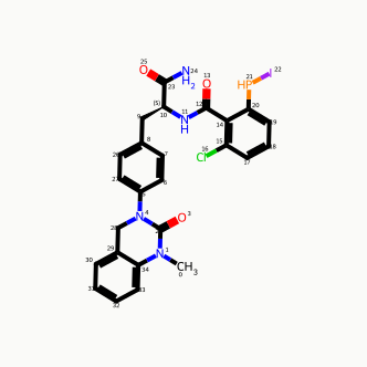 CN1C(=O)N(c2ccc(C[C@H](NC(=O)c3c(Cl)cccc3PI)C(N)=O)cc2)Cc2ccccc21